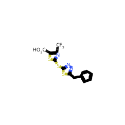 O=C(O)c1sc(Sc2nnc(Cc3ccccc3)s2)nc1C(F)(F)F